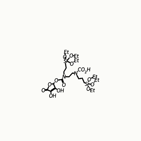 CCO[Si](CCCN(CCN(CCC[Si](OCC)(OCC)OCC)C(=O)OC1OC(=O)C(O)=C1O)C(=O)O)(OCC)OCC